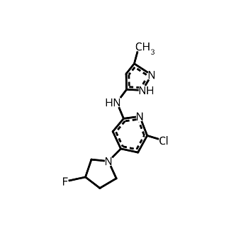 Cc1cc(Nc2cc(N3CCC(F)C3)cc(Cl)n2)[nH]n1